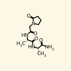 C[C@H](NC(=O)[C@H](C)NC(=O)CN1CCCC1=O)C(N)=O